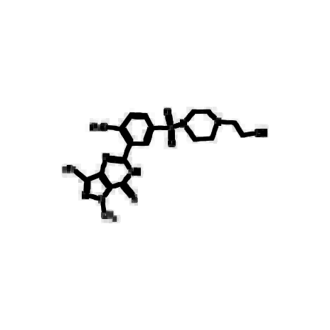 CCCc1nn(C)c2c(=S)[nH]c(-c3cc(S(=O)(=O)N4CCN(CCO)CC4)ccc3OCC(C)C)nc12